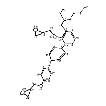 CCCCC(CC)Cc1cccc(C2C=CC(c3ccc(OCC4CO4)cc3)C=C2)c1OCC1CO1